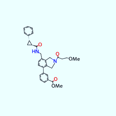 COCCC(=O)N1CCc2c(-c3cccc(C(=O)OC)c3)ccc(CNC(=O)[C@H]3C[C@@H]3c3ccccc3)c2C1